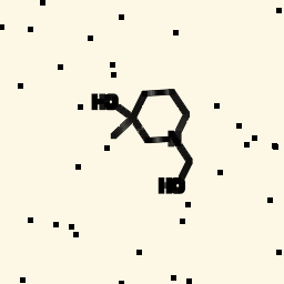 CC1(O)CCCN(CO)C1